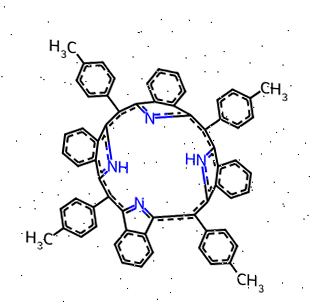 Cc1ccc(-c2c3nc(c(-c4ccc(C)cc4)c4[nH]c(c(-c5ccc(C)cc5)c5nc(c(-c6ccc(C)cc6)c6[nH]c2c2ccccc62)-c2ccccc2-5)c2ccccc42)-c2ccccc2-3)cc1